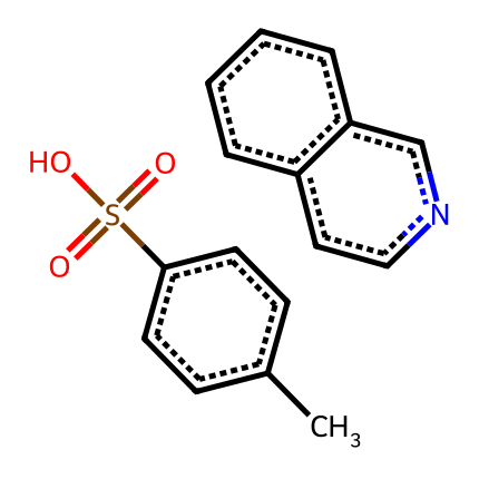 Cc1ccc(S(=O)(=O)O)cc1.c1ccc2cnccc2c1